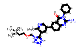 COc1ncc(-c2ccc3nc(N)n(-c4ccccc4)c(=O)c3c2)cc1-c1nnnn1COCC[Si](C)(C)C